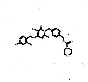 Cc1cc(OCc2ccc(F)cc2F)c(Br)c(=O)n1Cc1ccc(CNC(=O)N2CCOCC2)cc1